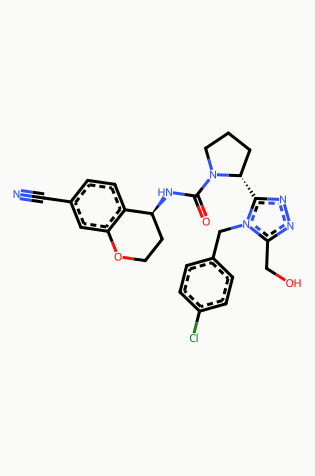 N#Cc1ccc2c(c1)OCC[C@@H]2NC(=O)N1CCC[C@@H]1c1nnc(CO)n1Cc1ccc(Cl)cc1